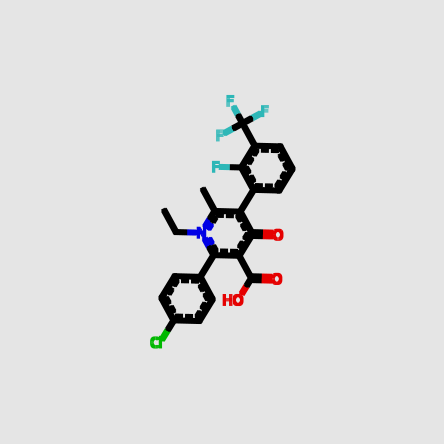 CCn1c(C)c(-c2cccc(C(F)(F)F)c2F)c(=O)c(C(=O)O)c1-c1ccc(Cl)cc1